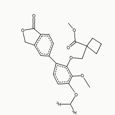 [2H]C([2H])Oc1ccc(-c2ccc3c(c2)COC3=O)c(OCC2(C(=O)OC)CCC2)c1OC